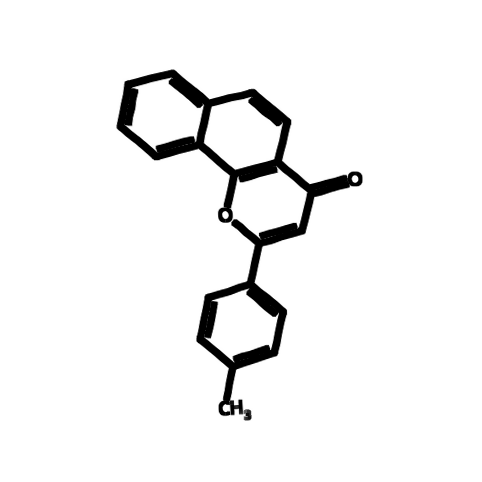 Cc1ccc(-c2cc(=O)c3ccc4ccccc4c3o2)cc1